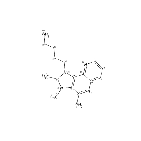 CC1N(C)c2c(N)nc3cccnc3c2N1CCCCN